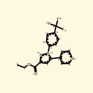 CCOC(=O)c1cc(-c2ccncc2)n(-c2ccc(C(F)(F)F)cc2)n1